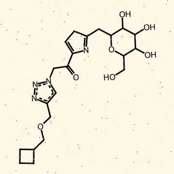 O=C(Cn1cc(COCC2CCC2)nn1)C1=CCC(CC2OC(CO)C(O)C(O)C2O)=N1